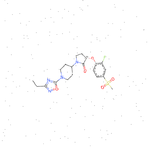 CCc1noc(N2CCC(N3CC[C@H](Oc4ccc(S(C)(=O)=O)cc4F)C3=O)CC2)n1